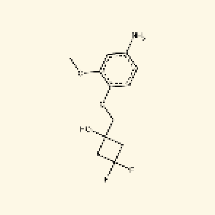 COc1cc(N)ccc1OCC1(O)CC(F)(F)C1